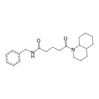 O=C(CCCC(=O)N1CCCC2CCCCC21)NCc1ccccc1